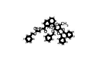 C[C@@H]1O[C@](O)(C2CCCc3ccc(C(=O)NCC(=O)OCc4ccccc4)cc32)[C@@H](OCc2ccccc2)[C@H](OCc2ccccc2)[C@@H]1OCc1ccccc1